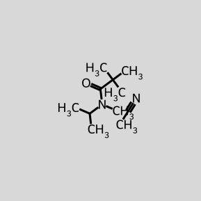 CC#N.CC(C)N(C)C(=O)C(C)(C)C